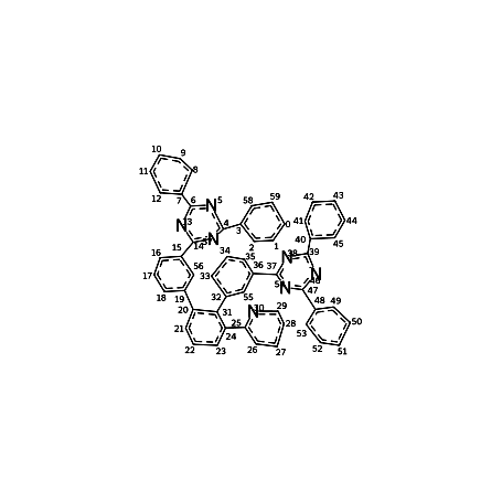 c1ccc(-c2nc(-c3ccccc3)nc(-c3cccc(-c4cccc(-c5ccccn5)c4-c4cccc(-c5nc(-c6ccccc6)nc(-c6ccccc6)n5)c4)c3)n2)cc1